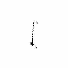 C=COC(=O)CCCCCCCCCCCCCCCCCCCCCCCCC